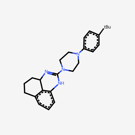 CC(C)(C)c1ccc(N2CCN(C3=NC4CCCc5cccc(c54)N3)CC2)cc1